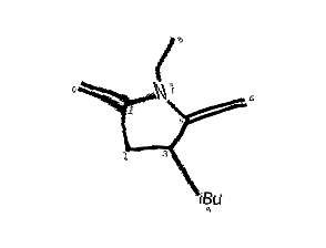 C=C1CC(C(C)CC)C(=C)N1C